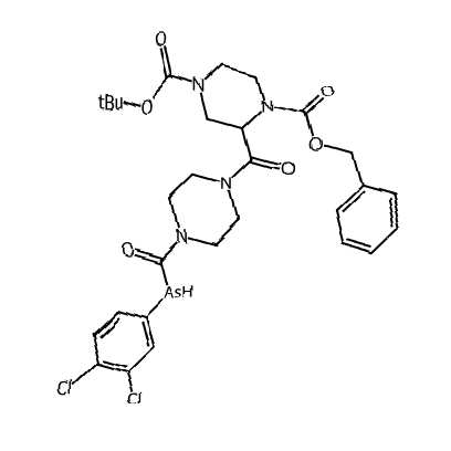 CC(C)(C)OC(=O)N1CCN(C(=O)OCc2ccccc2)C(C(=O)N2CCN(C(=O)[AsH]c3ccc(Cl)c(Cl)c3)CC2)C1